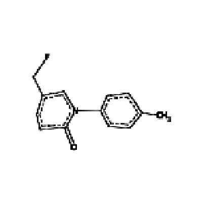 Cc1ccc(-n2cc(CF)ccc2=O)cc1